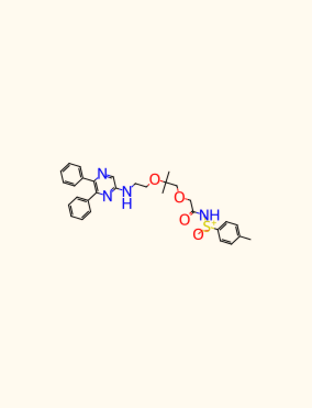 Cc1ccc([S+]([O-])NC(=O)COCC(C)(C)OCCNc2cnc(-c3ccccc3)c(-c3ccccc3)n2)cc1